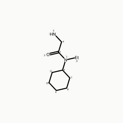 CCN(C(=O)C[NH])C1CCCCC1